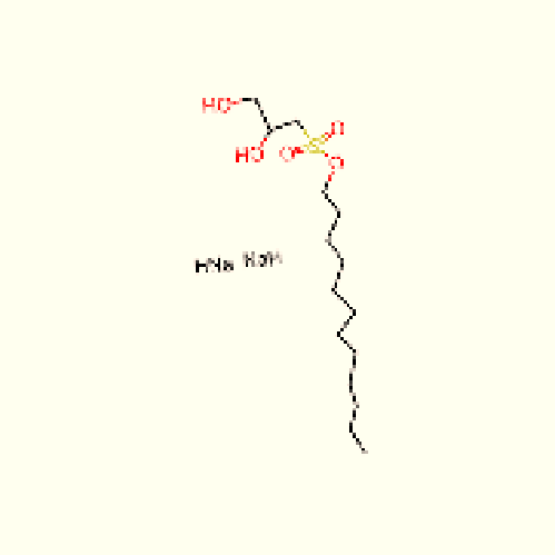 CCCCCCCCCCCCOS(=O)(=O)CC(O)CO.[NaH].[NaH]